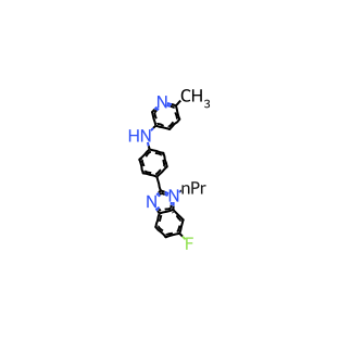 CCCn1c(-c2ccc(Nc3ccc(C)nc3)cc2)nc2ccc(F)cc21